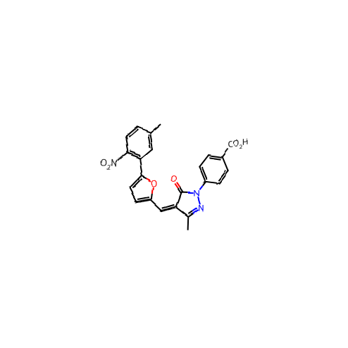 CC1=NN(c2ccc(C(=O)O)cc2)C(=O)/C1=C\c1ccc(-c2cc(C)ccc2[N+](=O)[O-])o1